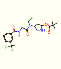 CC(C)(C)C(=O)OC1CC(N(CF)C(=O)CNC(=O)c2cccc(C(F)(F)F)c2)CN1